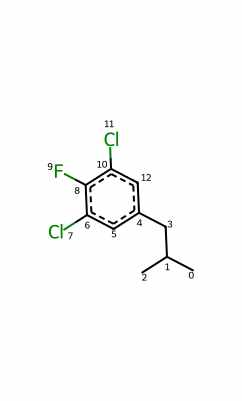 CC(C)Cc1cc(Cl)c(F)c(Cl)c1